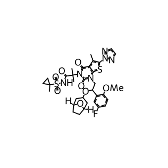 COc1ccc(F)cc1C(Cn1c(=O)n(C(C)(C)C(=O)NS(=O)(=O)C2(C)CC2)c(=O)c2c(C)c(-n3nccn3)sc21)OC1C[C@H]2CC[C@@H](C1)O2